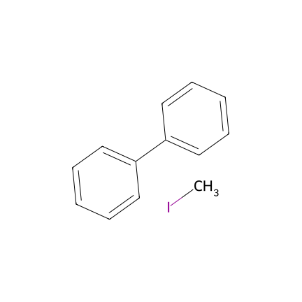 CI.c1ccc(-c2ccccc2)cc1